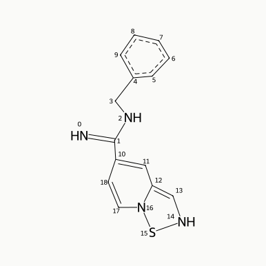 N=C(NCc1ccccc1)C1=CC2=CNSN2C=C1